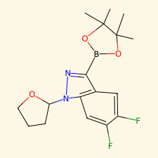 CC1(C)OB(c2nn(C3CCCO3)c3cc(F)c(F)cc23)OC1(C)C